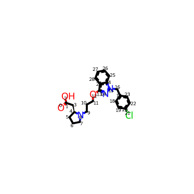 O=C(O)C[C@@H]1CCCN1CCCOc1nn(Cc2ccc(Cl)cc2)c2ccccc12